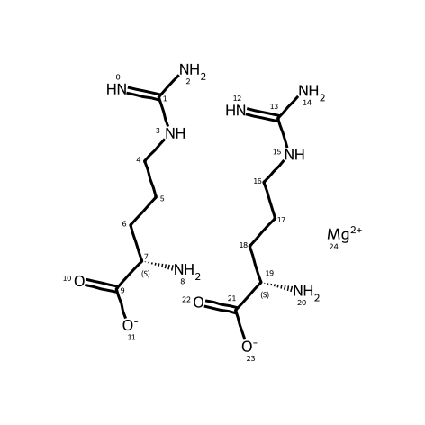 N=C(N)NCCC[C@H](N)C(=O)[O-].N=C(N)NCCC[C@H](N)C(=O)[O-].[Mg+2]